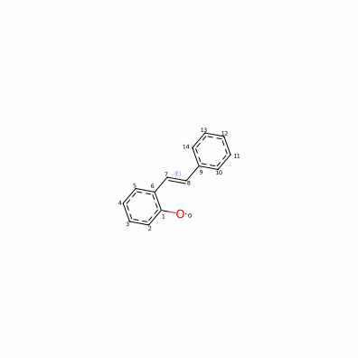 [O]c1ccccc1/C=C/c1ccccc1